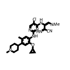 CN/C=C(/Nc1nc(Nc2cc(C)c(C3CCN(C)CC3)cc2OC2CC2)ncc1Cl)C(=N)C#N